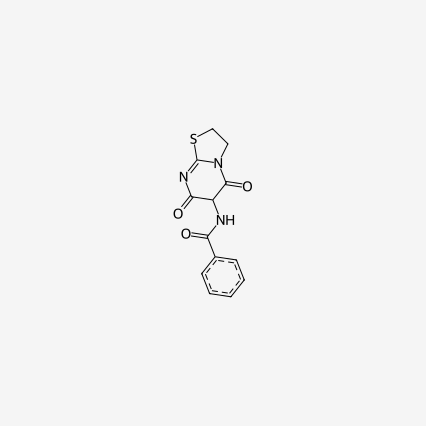 O=C(NC1C(=O)N=C2SCCN2C1=O)c1ccccc1